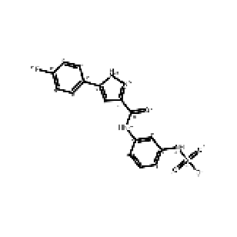 CS(=O)(=O)Nc1cccc(NC(=O)c2cc(-c3ccc(F)cc3)[nH]n2)c1